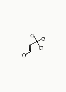 [O]C=CC(Cl)(Cl)Cl